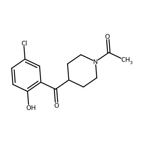 CC(=O)N1CCC(C(=O)c2cc(Cl)ccc2O)CC1